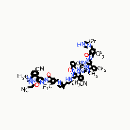 CC(CCC1CC12CCN(Cc1cc3c(c(C(F)(F)F)c1)CN(c1cc(-c4cc(C#N)ccc4-c4nncn4C)cc(OCCCC#N)n1)C1OC31)C2)Nc1cc(-c2cc(C#N)ccc2-c2nncn2Cc2nnc(-c3ccc(C(F)(F)F)cc3-c3cc(NCCCC#N)nc(N4Cc5c(cc(CN6CCNC[C@@H]6C(C)C)cc5C(F)(F)F)C4=O)c3)n2C)cc(N2Cc3c(cccc3C(F)(F)F)C2=O)n1